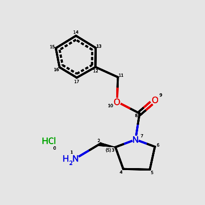 Cl.NC[C@@H]1CCCN1C(=O)OCc1ccccc1